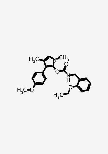 CCOc1ccccc1CNC(=O)Oc1c(-c2ccc(OC)cc2)c(C)cn1C